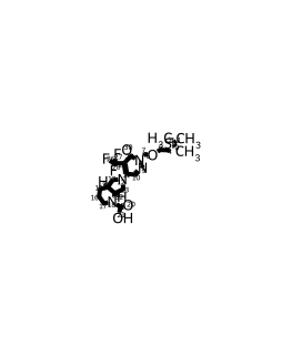 C[Si](C)(C)CCOCn1ncc(N2C[C@H]3CCCN(C(=O)O)[C@H]3C2)c(C(F)(F)F)c1=O